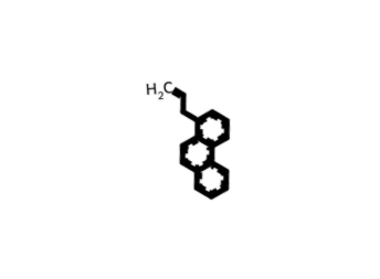 C=CCc1cccc2c1ccc1ccccc12